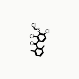 Cc1cccc(C)c1C(=O)c1ccc(Cl)c(SCCl)c1Cl